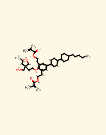 C=C(C)C(=O)OCCc1cc(C2CCC(C3CCC(CCCCC)CC3)CC2)cc(CCOC(=O)C(=C)C)c1OCCC(CO)(CO)CCC